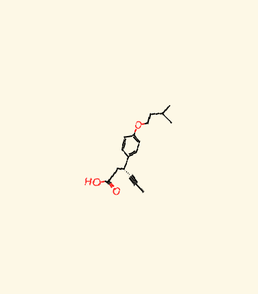 CC#C[C@H](CC(=O)O)c1ccc(OCCC(C)C)cc1